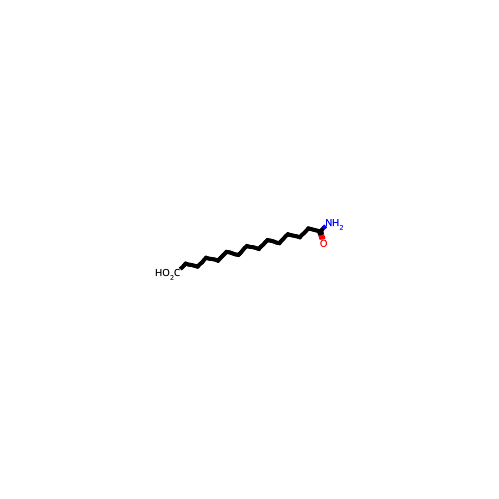 NC(=O)CCCCCCCCCCCCCC(=O)O